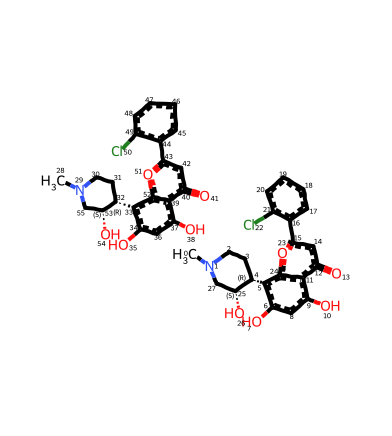 CN1CC[C@H](c2c(O)cc(O)c3c(=O)cc(-c4ccccc4Cl)oc23)[C@H](O)C1.CN1CC[C@H](c2c(O)cc(O)c3c(=O)cc(-c4ccccc4Cl)oc23)[C@H](O)C1